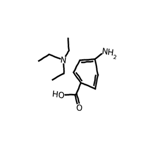 CCN(CC)CC.Nc1ccc(C(=O)O)cc1